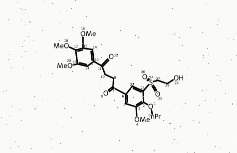 CCCOc1c(OC)cc(C(=O)CCC(=O)c2cc(OC)c(OC)c(OC)c2)cc1S(=O)(=O)CCO